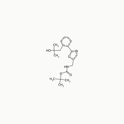 CC(C)(O)Cc1ccccc1-c1ncc(CNC(=O)OC(C)(C)C)s1